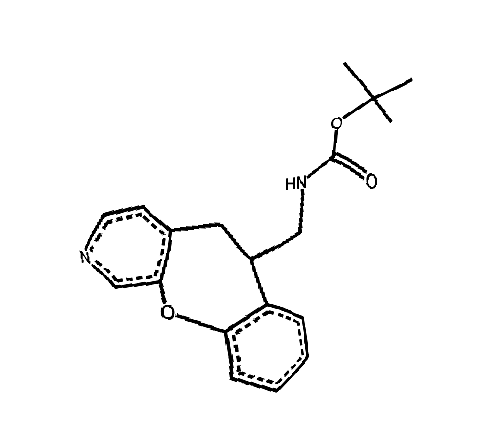 CC(C)(C)OC(=O)NCC1Cc2ccncc2Oc2ccccc21